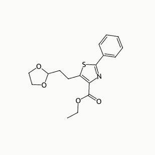 CCOC(=O)c1nc(-c2ccccc2)sc1CCC1OCCO1